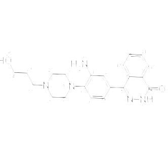 Nc1cc(-c2n[nH]c(=O)c3ccccc23)ccc1N1CCN(CCCO)CC1